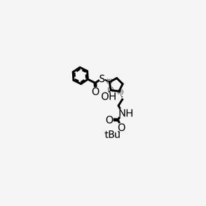 CC(C)(C)OC(=O)NCC[C@H]1CC[C@H](SC(=O)c2ccccc2)[C@H]1O